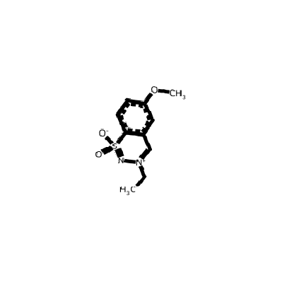 CC[N+]1=Cc2cc(OC)ccc2S(=O)([O-])=N1